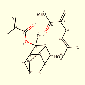 C=C(C)C(=O)OC1(CC)C2CC3CC(C2)CC1C3.C=C(CC=C(C)C(=O)O)C(=O)OC